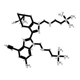 C[C@@]12Cc3c(c(-c4nc5c(C#N)cc(N)cc5n4COCC[Si](C)(C)C)nn3COCC[Si](C)(C)C)C[C@@H]1C2